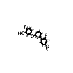 COc1ccc(-c2cccc(Oc3ccc(F)c(O)c3)n2)c(F)c1